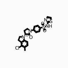 Cc1ccc2c(c1Cl)CCN2[C@H]1CCN(c2ccc(S(=O)(=O)Nc3nccs3)cc2)C1=O